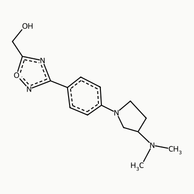 CN(C)C1CCN(c2ccc(-c3noc(CO)n3)cc2)C1